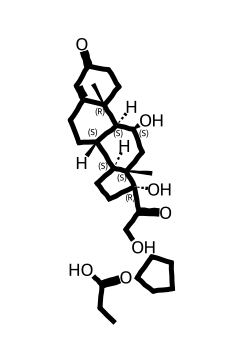 C1CCCC1.CCC(=O)O.C[C@]12CCC(=O)C=C1CC[C@@H]1[C@@H]2[C@@H](O)C[C@@]2(C)[C@H]1CC[C@]2(O)C(=O)CO